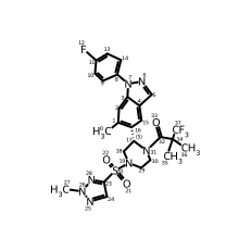 Cc1cc2c(cnn2-c2ccc(F)cc2)cc1[C@H]1CN(S(=O)(=O)c2cnn(C)n2)CCN1C(=O)C(C)(C)C(F)(F)F